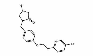 CCc1ccc(CCOc2ccc(CC3C[S+]([O-])C[N+]3=O)cc2)nc1